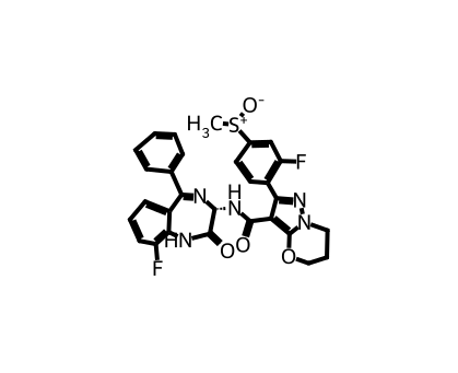 C[S+]([O-])c1ccc(-c2nn3c(c2C(=O)N[C@H]2N=C(c4ccccc4)c4cccc(F)c4NC2=O)OCCC3)c(F)c1